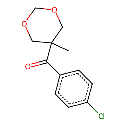 CC1(C(=O)c2ccc(Cl)cc2)COCOC1